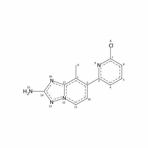 Cc1c(-c2cccc(Cl)n2)ccn2nc(N)nc12